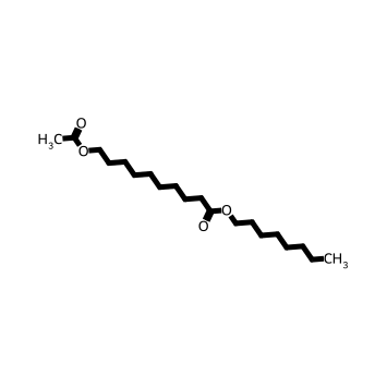 CCCCCCCCOC(=O)CCCCCCCCCOC(C)=O